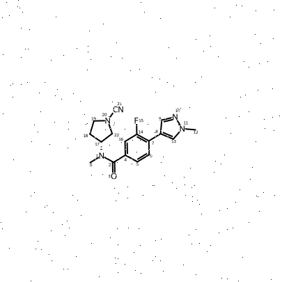 CN(C(=O)c1ccc(-c2cnn(C)c2)c(F)c1)[C@@H]1CCN(C#N)C1